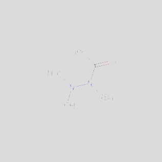 CC(C)C(=O)N(N(C)C)C(C)(C)C